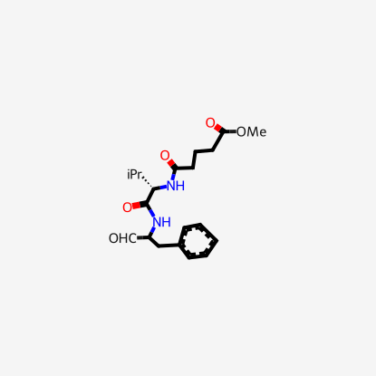 COC(=O)CCCC(=O)N[C@H](C(=O)NC(C=O)Cc1ccccc1)C(C)C